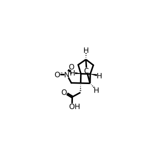 O=C(O)C[C@]1(C[N+](=O)[O-])[C@@H]2C[C@H]3C[C@@H]2[C@@H]1C3